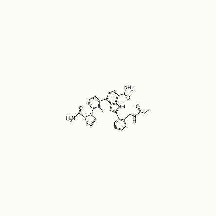 CCC(=O)NCc1ccccc1-c1cc2c(-c3cccc(N4C=CSC4C(N)=O)c3C)ccc(C(N)=O)c2[nH]1